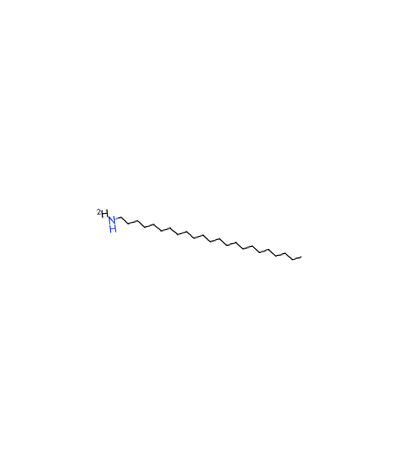 [2H]NCCCCCCCCCCCCCCCCCCCCCCC